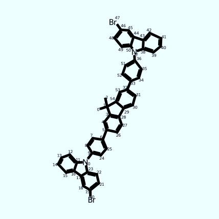 CC1(C)c2cc(-c3ccc(-n4c5ccccc5c5cc(Br)ccc54)cc3)ccc2-c2ccc(-c3ccc(-n4c5ccccc5c5cc(Br)ccc54)cc3)cc21